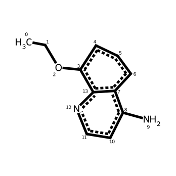 CCOc1cccc2c(N)ccnc12